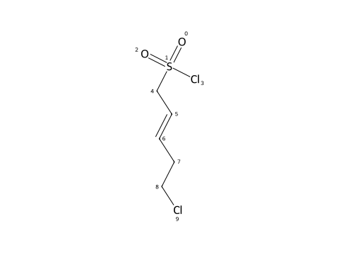 O=S(=O)(Cl)CC=CCCCl